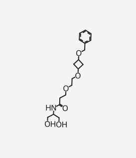 O=C(CCOCCOC1CC(OCc2ccccc2)C1)NC(CO)CO